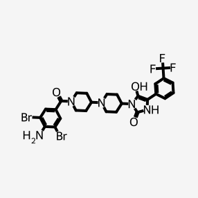 Nc1c(Br)cc(C(=O)N2CCC(N3CCC(n4c(O)c(-c5cccc(C(F)(F)F)c5)[nH]c4=O)CC3)CC2)cc1Br